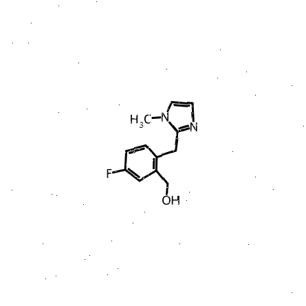 Cn1ccnc1Cc1ccc(F)cc1CO